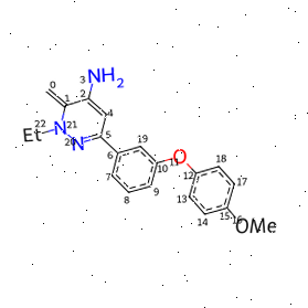 C=C1C(N)=CC(c2cccc(Oc3ccc(OC)cc3)c2)=NN1CC